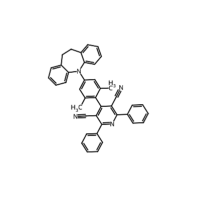 Cc1cc(N2c3ccccc3CCc3ccccc32)cc(C)c1-c1c(C#N)c(-c2ccccc2)nc(-c2ccccc2)c1C#N